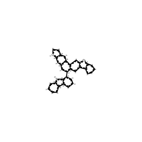 c1ccc2c(c1)oc1cc3c(cc12)c(-c1cccc2c1sc1ccccc12)cc1cc2occc2cc13